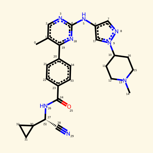 Cc1cnc(Nc2cnn(C3CCN(C)CC3)c2)nc1-c1ccc(C(=O)N[C@H](C#N)C2CC2)cc1